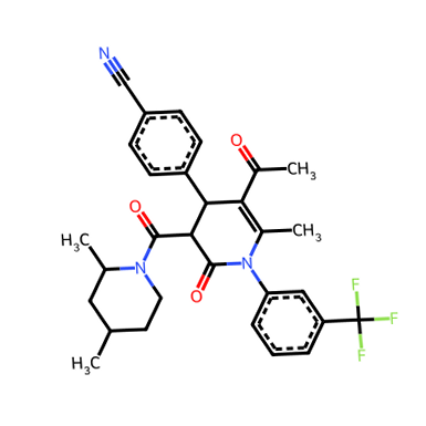 CC(=O)C1=C(C)N(c2cccc(C(F)(F)F)c2)C(=O)C(C(=O)N2CCC(C)CC2C)C1c1ccc(C#N)cc1